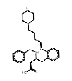 O=C(O)CC(Cc1ccccc1OCCCCC1CCNCC1)NCc1ccccc1